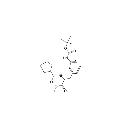 COC(=O)C(Cc1ccnc(NC(=O)OC(C)(C)C)c1)NC(O)C1CCCC1